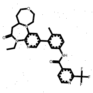 CCN1C(=O)CC2CCOCCN2c2cc(-c3cc(NC(=O)c4ccnc(C(F)(F)F)c4)ccc3C)cnc21